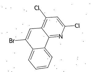 Clc1cc(Cl)c2cc(Br)c3ccccc3c2n1